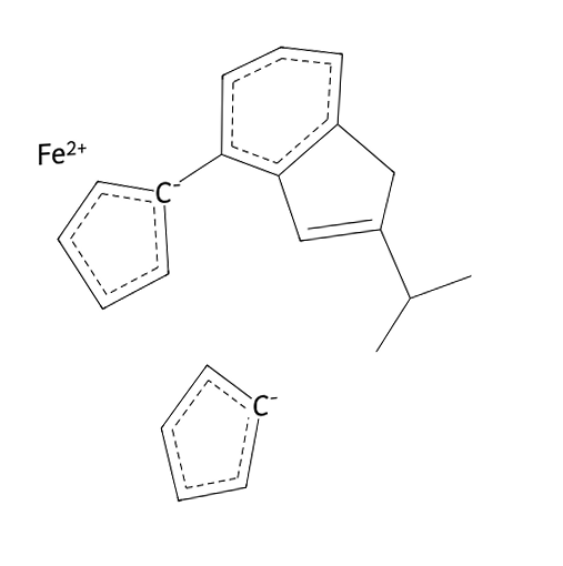 CC(C)C1=Cc2c(cccc2-[c-]2cccc2)C1.[Fe+2].c1cc[cH-]c1